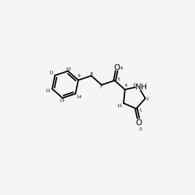 O=C1CNC(C(=O)CCc2ccccc2)C1